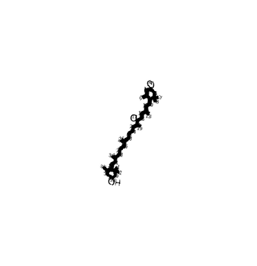 CC1=CC(=O)CC(C)(C)/C1=C/C=C(C)/C=C/C(=O)/C(C)=C/C=C/C=C(C)/C=C/C=C(C)/C=C/C1=C(C)CC(O)CC1(C)C